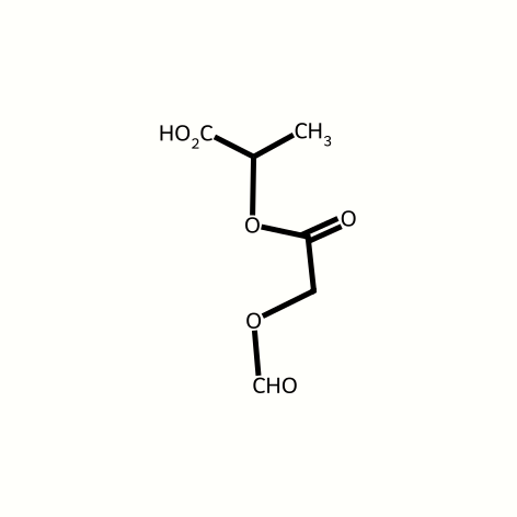 CC(OC(=O)COC=O)C(=O)O